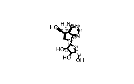 C#Cc1cn([C@@H]2S[C@H](CO)C(O)C2O)c2ncnc(N)c12